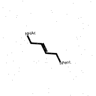 CCCCCC/C=C/CNC(C)=O